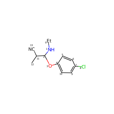 CCNC(Oc1ccc(Cl)cc1)C(C)C#N